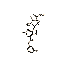 CNC(=O)[C@@]12C[C@@H]1[C@@H](n1cnc3c(NCc4cccc(Cl)c4)nc(I)nc31)C(O)C2O